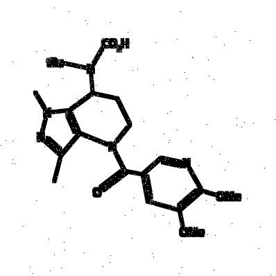 COc1cc(C(=O)N2CCC(N(C(=O)O)C(C)(C)C)c3c2c(C)nn3C)cnc1OC